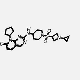 O=c1ccc2cnc(NC3CCN(S(=O)(=O)C4CN(C5CC5)C4)CC3)nc2n1C1CCCC1